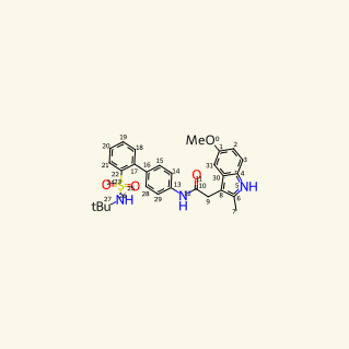 COc1ccc2[nH]c(C)c(CC(=O)Nc3ccc(-c4ccccc4S(=O)(=O)NC(C)(C)C)cc3)c2c1